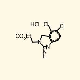 CCOC(=O)CN1Cc2c(ccc(Cl)c2Cl)N2NC12.Cl